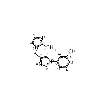 Cc1nccn1Cc1cn(-c2cccc(Cl)c2)cn1